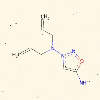 C=CCN(CC=C)[n+]1cc([NH-])on1